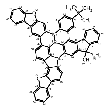 CC(C)(C)c1ccc(N2B3c4cc5c(cc4-n4c6ccc7c8ccccc8oc7c6c6ccc(c3c64)-c3cc4c(cc32)oc2ccccc24)C(C)(C)c2ccccc2-5)cc1